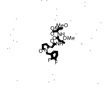 COC(=O)[C@@H](NC(=O)[C@@H](NC(=O)C[C@@H]1CCC(=O)N1Cc1cccc(F)c1F)[C@@H](C)OC)[C@@H](C)OC